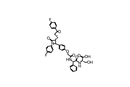 O=C(COc1ccc(C2C(SCC(=O)c3ccc(F)cc3)C(=O)N2c2ccc(F)cc2)cc1)N[C@@H](C(=O)N[C@H](CO)C(=O)O)c1ccccc1